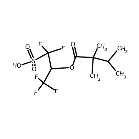 CC(C)C(C)(C)C(=O)OC(C(F)(F)F)C(F)(F)S(=O)(=O)O